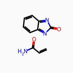 C=CC(N)=O.O=C1N=c2ccccc2=N1